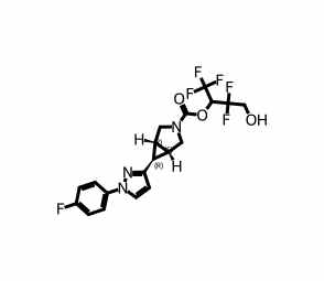 O=C(OC(C(F)(F)F)C(F)(F)CO)N1C[C@@H]2[C@H](C1)[C@H]2c1ccn(-c2ccc(F)cc2)n1